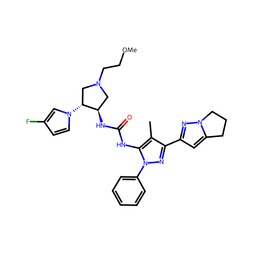 COCCN1C[C@@H](n2ccc(F)c2)[C@H](NC(=O)Nc2c(C)c(-c3cc4n(n3)CCC4)nn2-c2ccccc2)C1